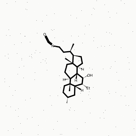 CC[C@H]1[C@@H](O)[C@@H]2[C@H](CC[C@]3(C)[C@@H]([C@H](C)CCN=C=O)CC[C@@H]23)[C@@]2(C)CC[C@@H](C)C[C@@H]12